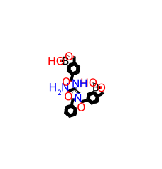 NC(=O)[C@H](CN(Cc1ccccc1)C(=O)c1ccc2c(c1)B(O)OC2)NC(=O)c1ccc2c(c1)B(O)OC2